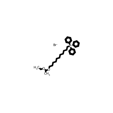 CCOC(C)OCCCCCCCCCCC[P+](c1ccccc1)(c1ccccc1)c1ccccc1.[Br-]